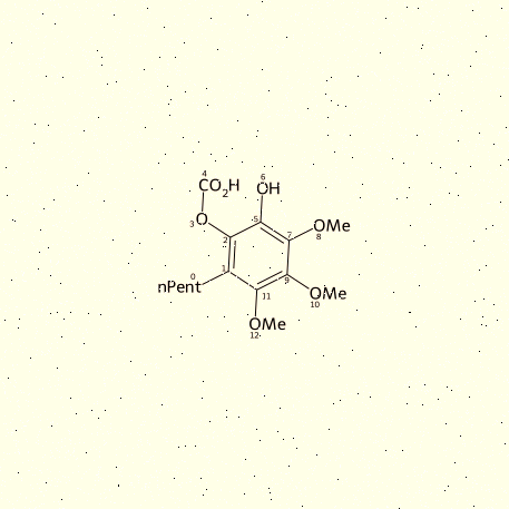 CCCCCc1c(OC(=O)O)c(O)c(OC)c(OC)c1OC